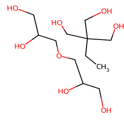 CCC(CO)(CO)CO.OCC(O)COCC(O)CO